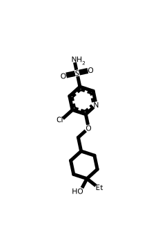 CCC1(O)CCC(COc2ncc(S(N)(=O)=O)cc2Cl)CC1